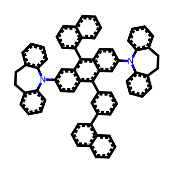 c1cc(-c2cccc3ccccc23)cc(-c2c3cc(N4c5ccccc5CCc5ccccc54)ccc3c(-c3cccc4ccccc34)c3cc(N4c5ccccc5CCc5ccccc54)ccc23)c1